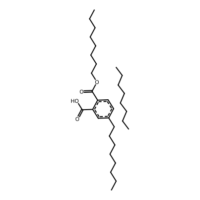 CCCCCCCC.CCCCCCCCOC(=O)c1ccc(CCCCCCCC)cc1C(=O)O